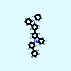 C1=CCCC(n2c3ccccc3c3cc(-c4ccc5c(c4)c4ccccc4n5-c4cccc(-c5ccccc5)c4)ccc32)=C1